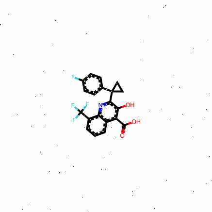 O=C(O)c1c(O)c(C2(c3ccc(F)cc3)CC2)nc2c(C(F)(F)F)cccc12